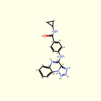 O=C(NC1CC1)c1ccc(Nc2nc3ccccc3n3nnnc23)cc1